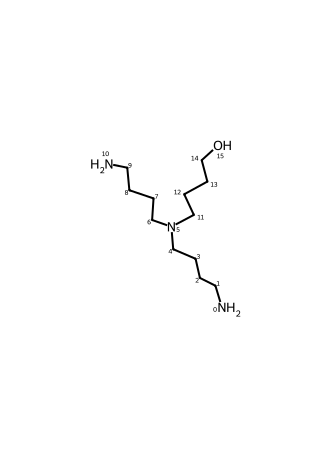 NCCCCN(CCCCN)CCCCO